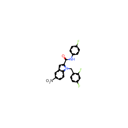 O=C(Nc1ccc(F)cc1)c1cc2cc([N+](=O)[O-])ccc2n1Cc1ccc(F)cc1F